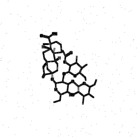 C=C1C[C@@]23CC[C@H]4[C@@](C)(CCC[C@@]4(C)C(=O)O)[C@@H]2CC[C@]1(OC1OC(CC)C(C)C(OC2OC(CC)C(C)C(C)C2O)C1OC1OC(CC)C(C)C(C)C1OC(C)=O)C3